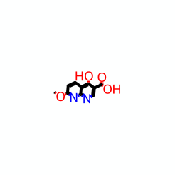 COc1ccc2c(O)c(C(=O)O)cnc2n1